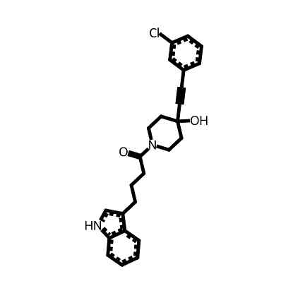 O=C(CCCc1c[nH]c2ccccc12)N1CCC(O)(C#Cc2cccc(Cl)c2)CC1